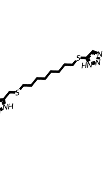 c1nn[nH]c1CSCCCCCCCCSc1cnn[nH]1